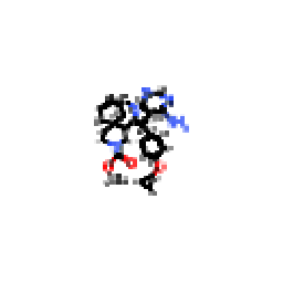 Cn1c(C2CN(C(=O)OC(C)(C)C)CCC23CC=CCC3)c(-c2ccc(OC3CC3)cc2)c2c(N)ncnc21